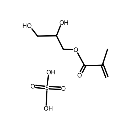 C=C(C)C(=O)OCC(O)CO.O=S(=O)(O)O